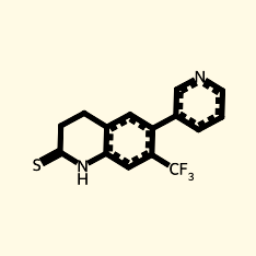 FC(F)(F)c1cc2c(cc1-c1cccnc1)CCC(=S)N2